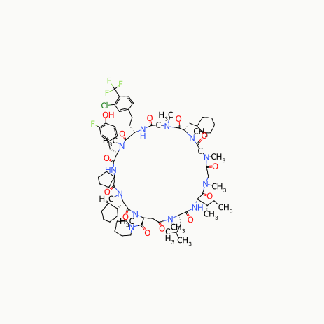 CC[C@H](C)[C@@H]1NC(=O)[C@H](CC(C)C)N(C)C(=O)C[C@@H](C(=O)N2CCCCC2)N(C)C(=O)[C@H](C2CCCCC2)N(C)C(=O)C2(CCCC2)NC(=O)[C@H](Cc2ccc(O)c(F)c2)N(C)C(=O)[C@H](CCc2ccc(C(F)(F)F)c(Cl)c2)NC(=O)CN(C)C(=O)[C@H](CC2CCCCC2)N(C)C(=O)CN(C)C(=O)CN(C)C1=O